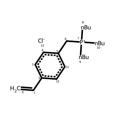 C=Cc1ccc(C[P+](CCCC)(CCCC)CCCC)cc1.[Cl-]